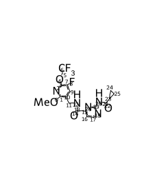 COc1nc(OCC(F)(F)F)c(F)cc1CNC(=O)c1ccnc(NC(=O)C2CC2)n1